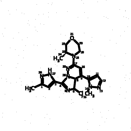 Cc1cc(C2=NC(Cl)C3C(c4ccnn4C)=CC(N4CCOC[C@H]4C)=NN23)[nH]n1